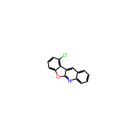 Clc1cccc2oc3nc4ccccc4cc3c12